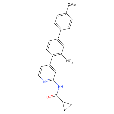 COc1ccc(-c2ccc(-c3ccnc(NC(=O)C4CC4)c3)c([N+](=O)[O-])c2)cc1